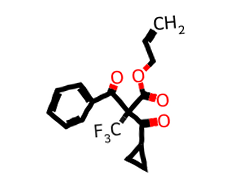 C=CCOC(=O)C(C(=O)c1ccccc1)(C(=O)C1CC1)C(F)(F)F